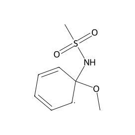 COC1(NS(C)(=O)=O)[CH]C=CC=C1